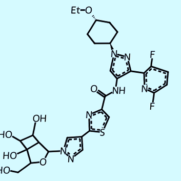 CCO[C@H]1CC[C@H](n2cc(NC(=O)c3csc(-c4cnn(C5OC(CO)C6(O)C(O)C(O)C56)c4)n3)c(-c3nc(F)ccc3F)n2)CC1